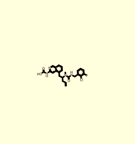 C=CCC(Cc1cccc2cnc(NC(=O)O)cc12)N(C)C(=O)NCc1cccc(F)c1Cl